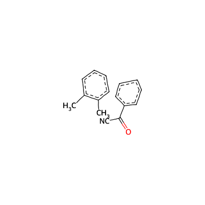 Cc1ccccc1C.N#CC(=O)c1ccccc1